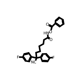 N#CC(CCCCCC(=O)NOC(=O)c1ccccc1)(c1ccc(F)cc1)c1ccc(F)cc1